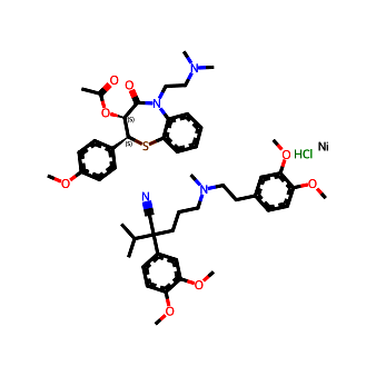 COc1ccc(CCN(C)CCCC(C#N)(c2ccc(OC)c(OC)c2)C(C)C)cc1OC.COc1ccc([C@@H]2Sc3ccccc3N(CCN(C)C)C(=O)[C@@H]2OC(C)=O)cc1.Cl.[Ni]